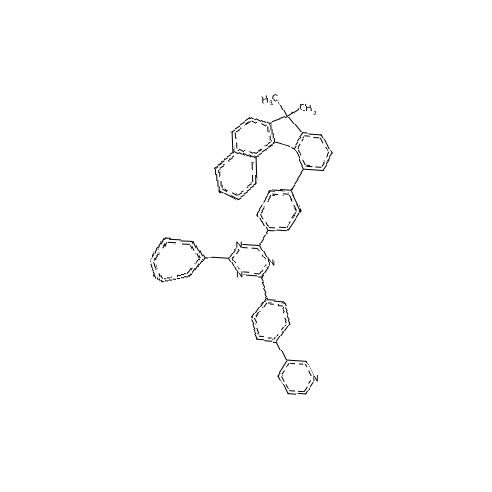 CC1(C)c2cccc(-c3ccc(-c4nc(-c5ccccc5)nc(-c5ccc(-c6cccnc6)cc5)n4)cc3)c2-c2c1ccc1ccccc21